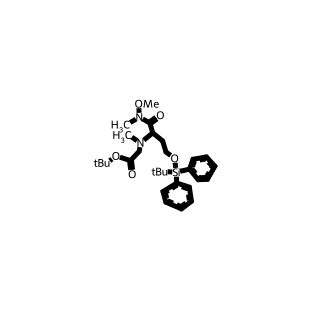 CON(C)C(=O)C(CCO[Si](c1ccccc1)(c1ccccc1)C(C)(C)C)N(C)CC(=O)OC(C)(C)C